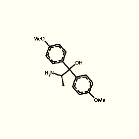 COc1ccc(C(O)(c2ccc(OC)cc2)[C@@H](C)N)cc1